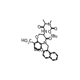 COc1ccc2ccccc2c1CN1C(=O)C(NC(=O)C(C)N(C)C(=O)OC(C)(C)C)COc2c(C(=O)O)cccc21